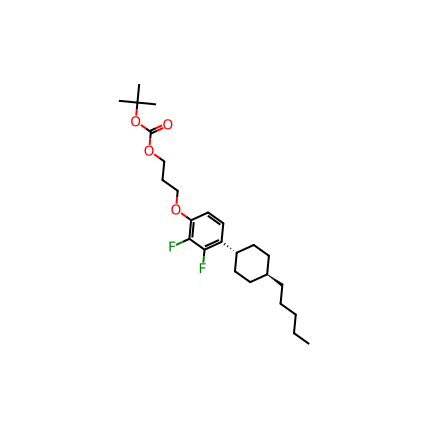 CCCCC[C@H]1CC[C@H](c2ccc(OCCCOC(=O)OC(C)(C)C)c(F)c2F)CC1